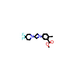 COC(=O)c1cc(N2CC(N3CCC(F)(F)CC3)C2)ccc1C